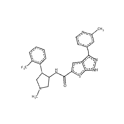 Cc1cc(-c2n[nH]c3sc(C(=O)NC4CN(C)CC4c4ccccc4C(F)(F)F)cc23)ccn1